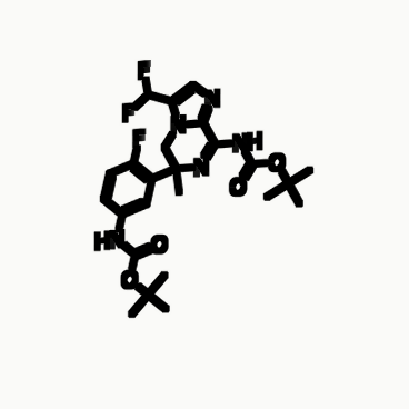 CC(C)(C)OC(=O)NC1=NC(C)(c2cc(NC(=O)OC(C)(C)C)ccc2F)Cn2c(C(F)F)cnc21